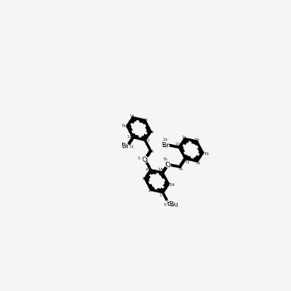 CC(C)(C)c1ccc(OCc2ccccc2Br)c(OCc2ccccc2Br)c1